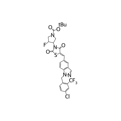 CC(C)(C)OC(=O)N1CC(F)C(N2C(=O)S/C(=C\c3ccc4c(cnn4Cc4ccc(Cl)cc4C(F)(F)F)c3)C2=O)C1